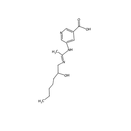 CCCCCC(O)C/N=C(\C)Nc1cncc(C(=O)O)c1